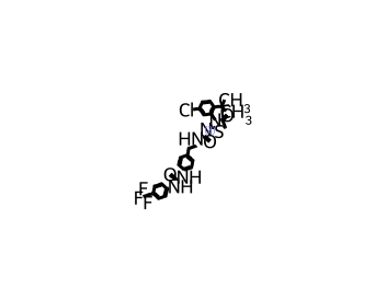 CC(C)c1ccc(Cl)cc1N1C(=O)CS/C1=N\C(=O)NCCc1ccc(NC(=O)Nc2ccc(C(F)(F)F)cc2)cc1